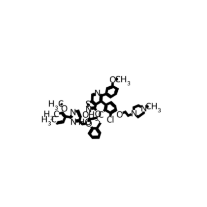 C/C=C\C(=C(/C)OC)c1nccc(COc2ccccc2C[C@@H](Oc2nsc3cnc(-c4cccc(OC)c4)c(-c4ccc(OCCN5CCN(C)CC5)c(Cl)c4C)c23)C(=O)O)n1